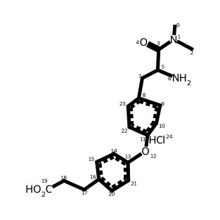 CN(C)C(=O)C(N)Cc1ccc(Oc2ccc(CCC(=O)O)cc2)cc1.Cl